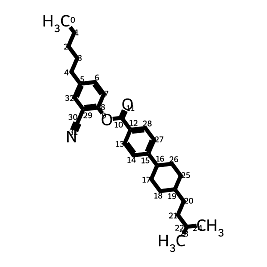 CCCCCc1ccc(OC(=O)c2ccc(C3CCC(CCC(C)C)CC3)cc2)c(C#N)c1